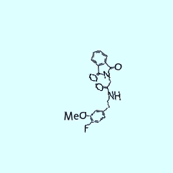 COc1cc(CCNC(=O)CN2C(=O)c3ccccc3C2=O)ccc1F